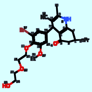 CCCC1CC(=O)C2=C(C1)NC(C)=C(C#N)C2c1cc(Br)c(OCCOCCO)c(OCC)c1